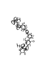 Cc1cc(O[C@@H]2CCC[C@@H]2O)cc(C)c1-c1cccc(COc2ccc3c(c2)OC[C@H]3CC(=O)O)c1